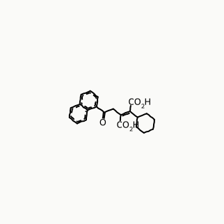 O=C(O)/C(CC(=O)c1cccc2ccccc12)=C(/C(=O)O)C1CCCCC1